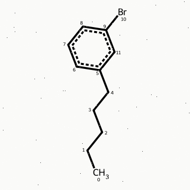 CCCCCc1cccc(Br)c1